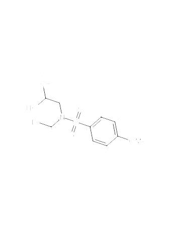 COc1ccc(S(=O)(=O)N(CC(C)C)CC(C)O)cc1